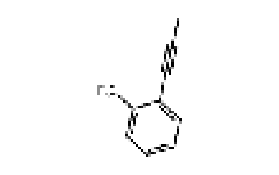 CC#Cc1ccccc1C(F)(F)F